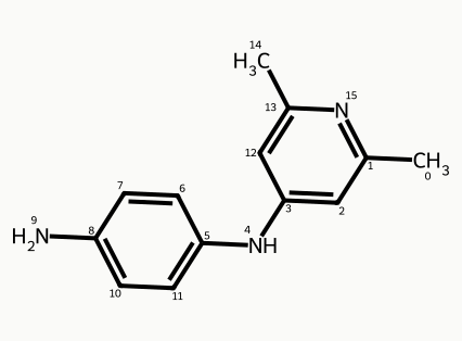 Cc1cc(Nc2ccc(N)cc2)cc(C)n1